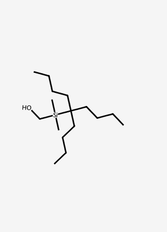 CCCCC(CCCC)(CCCC)[Si](C)(C)CO